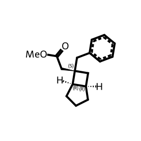 COC(=O)C[C@@]1(Cc2ccccc2)C[C@H]2CCC[C@H]21